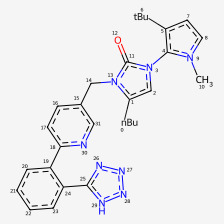 CCCCc1cn(-c2c(C(C)(C)C)ccn2C)c(=O)n1Cc1ccc(-c2ccccc2-c2nnn[nH]2)nc1